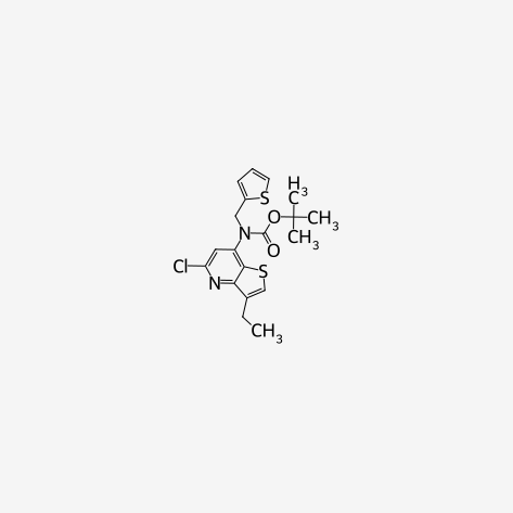 CCc1csc2c(N(Cc3cccs3)C(=O)OC(C)(C)C)cc(Cl)nc12